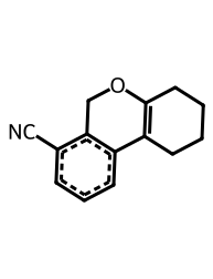 N#Cc1cccc2c1COC1=C2CCCC1